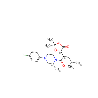 CC(C)C[C@@H](C(=O)N1CCN(c2ccc(Cl)cc2)C[C@H]1C)[C@@H]1OC(C)(C)OC1=O